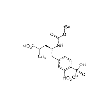 CC(C[C@H](Cc1ccc(P(=O)(O)O)c([N+](=O)[O-])c1)NC(=O)OC(C)(C)C)C(=O)O